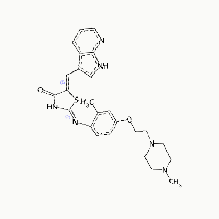 Cc1cc(OCCN2CCN(C)CC2)ccc1/N=C1/NC(=O)/C(=C/c2c[nH]c3ncccc23)S1